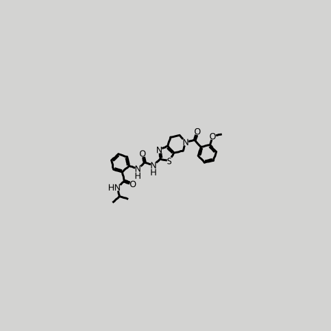 COc1ccccc1C(=O)N1CCc2nc(NC(=O)Nc3ccccc3C(=O)NC(C)C)sc2C1